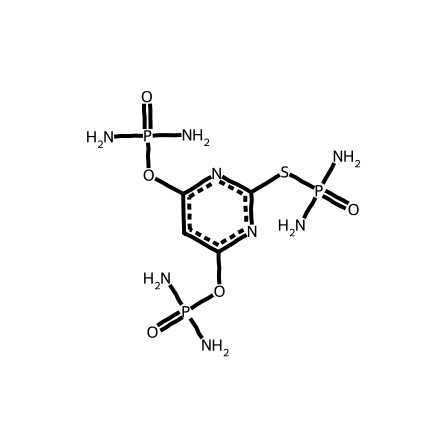 NP(N)(=O)Oc1cc(OP(N)(N)=O)nc(SP(N)(N)=O)n1